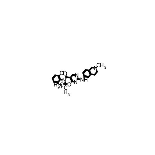 CN1CCc2cc(Nc3ncc4c(n3)OC(C)(C)N(c3c(Cl)cccc3Cl)C4=O)ccc2C1